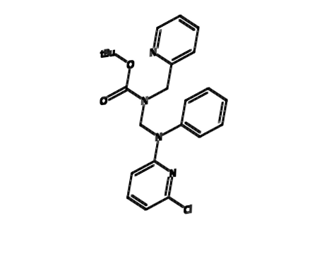 CC(C)(C)OC(=O)N(Cc1ccccn1)CN(c1ccccc1)c1cccc(Cl)n1